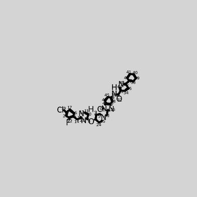 Cn1c(CN2CCC(Oc3ccnc(Cc4ccc(Cl)cc4F)n3)CC2)nc2cc(NC(=O)c3ccc(-c4ccccc4)nc3)ccc21